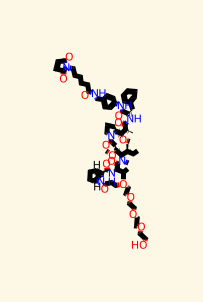 CC[C@H](C)[C@@H]([C@@H](CC(=O)N1CCC[C@H]1[C@H](OC)[C@@H](C)C(=O)N[C@@H](Cc1ccccc1)C(=O)Nc1ccc(CNC(=O)CCCCCN2C(=O)C=CC2=O)cc1)OC)N(C)C(=O)[C@@H](NC(=O)[C@@H]1[C@H]2CC[C@H](C2)N1C(=O)CCOCCOCCOCCOCCO)C(C)C